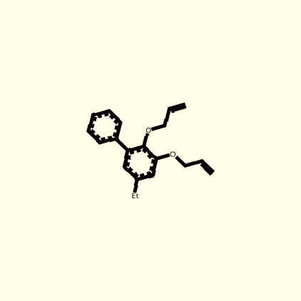 C=CCOc1cc(CC)cc(-c2ccccc2)c1OCC=C